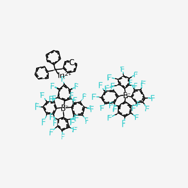 Fc1c(F)c(F)c([B-](c2c(F)c(F)c(F)c(F)c2F)(c2c(F)c(F)c(F)c(F)c2F)c2c(F)c(F)c(F)c(F)c2F)c(F)c1F.Fc1c(F)c(F)c([B-](c2c(F)c(F)c(F)c(F)c2F)(c2c(F)c(F)c(F)c(F)c2F)c2c(F)c(F)c(F)c(F)c2F)c(F)c1F.[In+2][C](c1ccccc1)(c1ccccc1)c1ccccc1